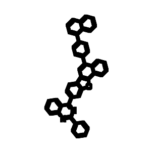 c1ccc(-c2nc(-c3ccc4c(c3)oc3c5ccccc5c(-c5ccc(-c6cccc7ccccc67)cc5)cc43)c3ccccc3n2)cc1